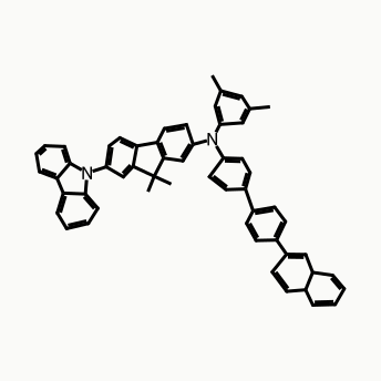 Cc1cc(C)cc(N(c2ccc(-c3ccc(C4=CC5C=CC=CC5C=C4)cc3)cc2)c2ccc3c(c2)C(C)(C)c2cc(-n4c5ccccc5c5ccccc54)ccc2-3)c1